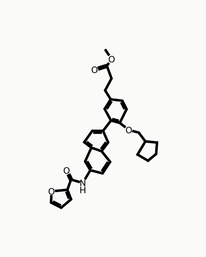 COC(=O)CCc1ccc(OCC2CCCC2)c(-c2ccc3cc(NC(=O)c4ccco4)ccc3c2)c1